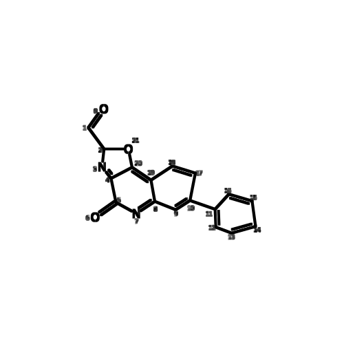 O=CC1N=C2C(=O)N=c3cc(-c4ccccc4)ccc3=C2O1